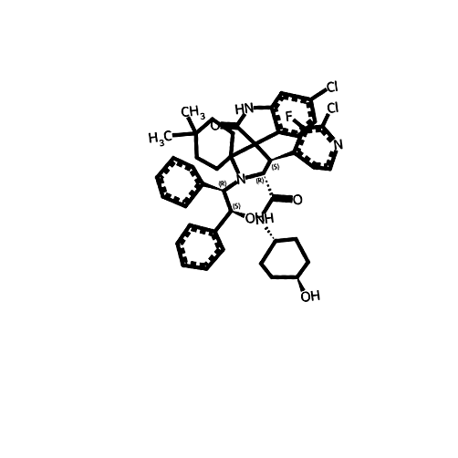 CC1(C)CCC2(CC1)N([C@H](c1ccccc1)[C@@H](O)c1ccccc1)[C@@H](C(=O)N[C@H]1CC[C@H](O)CC1)[C@H](c1ccnc(Cl)c1F)C21C(=O)Nc2cc(Cl)ccc21